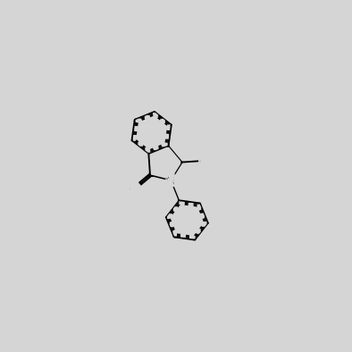 CC1c2ccccc2C(=O)N1c1ccccc1